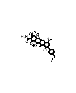 CN(C)c1cc(-c2ccc(CC(F)(F)F)cc2)c(O)c2c1C[C@H]1C[C@H]3[C@H](N(C)C)C(O)=C(C(N)=O)C(=O)[C@@]3(O)C(O)=C1C2=O